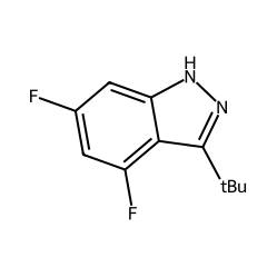 CC(C)(C)c1n[nH]c2cc(F)cc(F)c12